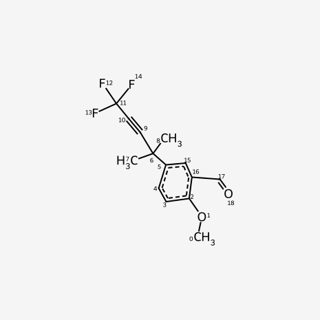 COc1ccc(C(C)(C)C#CC(F)(F)F)cc1C=O